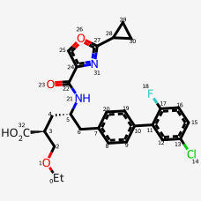 CCOC[C@H](C[C@@H](Cc1ccc(-c2cc(Cl)ccc2F)cc1)NC(=O)c1coc(C2CC2)n1)C(=O)O